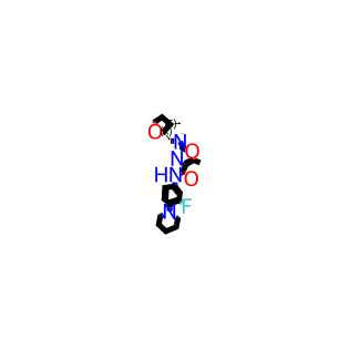 Cc1oc(N(C)C[C@@H]2OCC[C@@H]2C)nc1C(=O)Nc1ccc(N2CCCCC2)c(F)c1